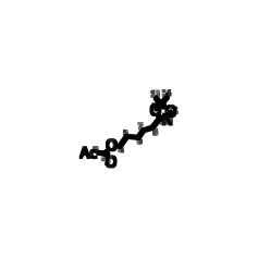 CC(=O)C(=O)OCCCCCC1=NOC(C)(C)O1